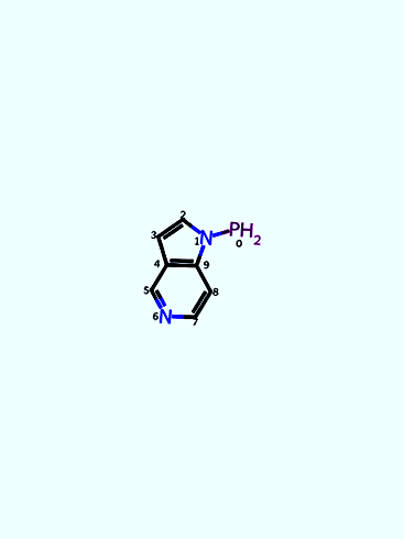 Pn1ccc2cnccc21